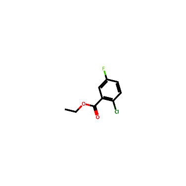 CCOC(=O)c1cc(F)ccc1Cl